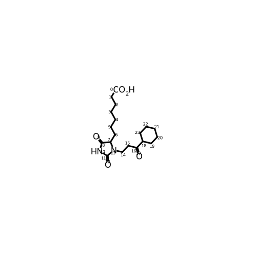 O=C(O)CCCCCCC1C(=O)NC(=O)N1CCC(=O)C1CCCCC1